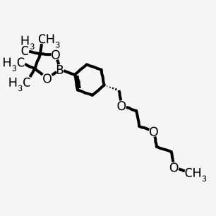 COCCOCCOC[C@@H]1CC=C(B2OC(C)(C)C(C)(C)O2)CC1